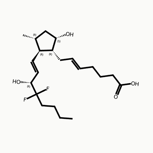 CCCCC(F)(F)[C@H](O)C=C[C@@H]1[C@@H](CC=CCCCC(=O)O)[C@@H](O)C[C@H]1C